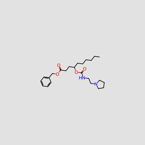 CCCCCCC(CCC(=O)OCc1ccccc1)OC(=O)NCCN1CCCC1